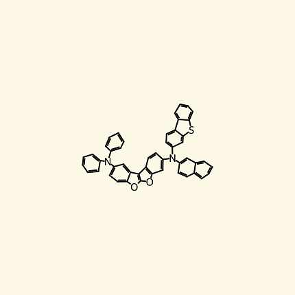 c1ccc(N(c2ccccc2)c2ccc3oc4oc5cc(N(c6ccc7ccccc7c6)c6ccc7c(c6)sc6ccccc67)ccc5c4c3c2)cc1